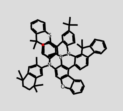 Cc1cc2c(cc1N1c3cc4c(cc3B3c5c1cc1oc6ccccc6c1c5-c1ccc5c(c1N3c1ccc(C(C)(C)C)cc1-c1ccccc1)C(C)(C)c1ccccc1-5)Sc1ccccc1C4(C)C)C(C)(C)CCC2(C)C